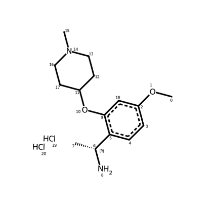 COc1ccc([C@@H](C)N)c(OC2CCN(C)CC2)c1.Cl.Cl